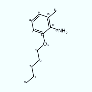 CCCCCOc1cccc(C)c1N